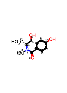 CC(C)(C)N(C(=O)c1ccc(O)cc1)[C@@H](CO)C(=O)O